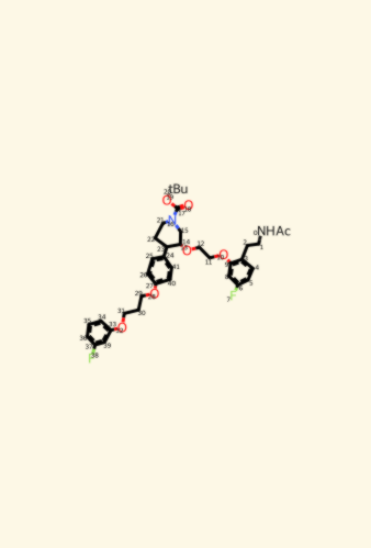 CC(=O)NCCc1ccc(F)cc1OCCOC1CN(C(=O)OC(C)(C)C)CCC1c1ccc(OCCCOc2cccc(F)c2)cc1